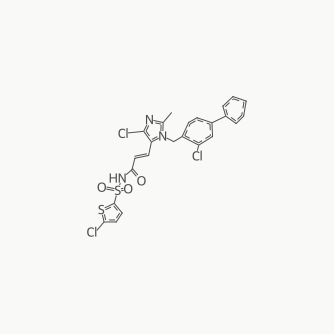 Cc1nc(Cl)c(C=CC(=O)NS(=O)(=O)c2ccc(Cl)s2)n1Cc1ccc(-c2ccccc2)cc1Cl